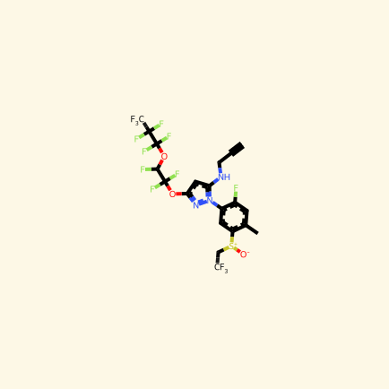 C#CCNc1cc(OC(F)(F)C(F)OC(F)(F)C(F)(F)C(F)(F)F)nn1-c1cc([S+]([O-])CC(F)(F)F)c(C)cc1F